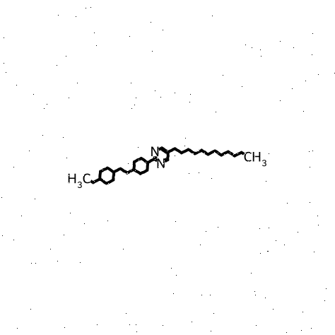 CCCCCCCCCCCCc1cnc(C2CCC(CCC3CCC(CC)CC3)CC2)nc1